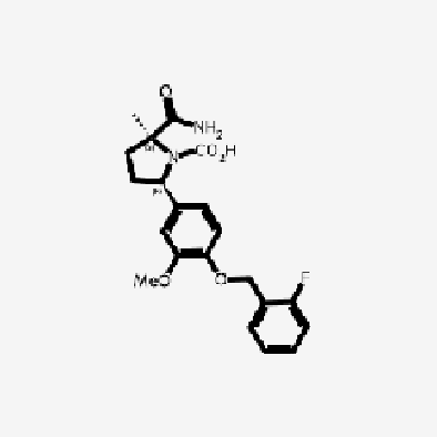 COc1cc([C@H]2CC[C@@](C)(C(N)=O)N2C(=O)O)ccc1OCc1ccccc1F